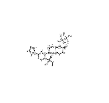 CCS(=O)(=O)c1ccc(-n2nccn2)nc1-c1cc2ccc(=O)n(CC(F)(F)C(F)(F)F)c2cn1